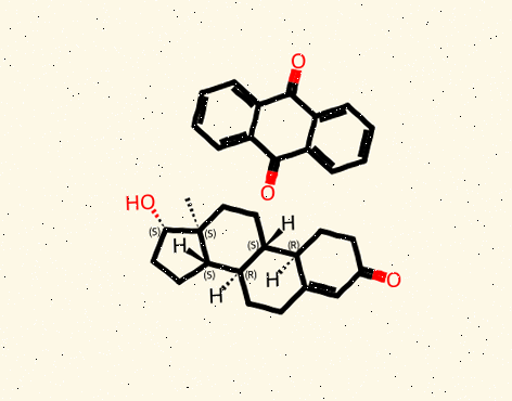 C[C@]12CC[C@H]3[C@@H](CCC4=CC(=O)CC[C@@H]43)[C@@H]1CC[C@@H]2O.O=C1c2ccccc2C(=O)c2ccccc21